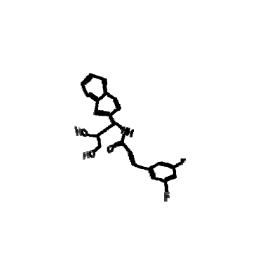 O=C(C=Cc1cc(F)cc(F)c1)NC(c1ccc2ccccc2c1)C(O)CO